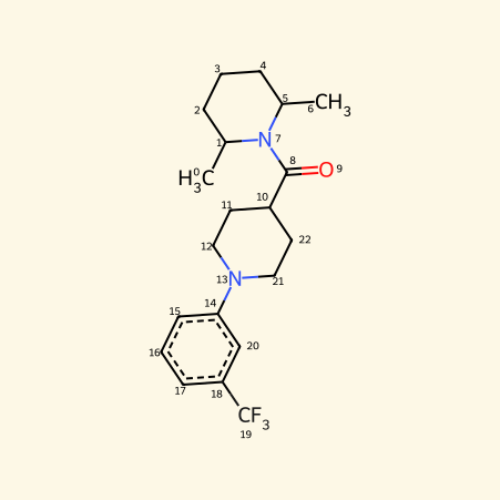 CC1CCCC(C)N1C(=O)C1CCN(c2cccc(C(F)(F)F)c2)CC1